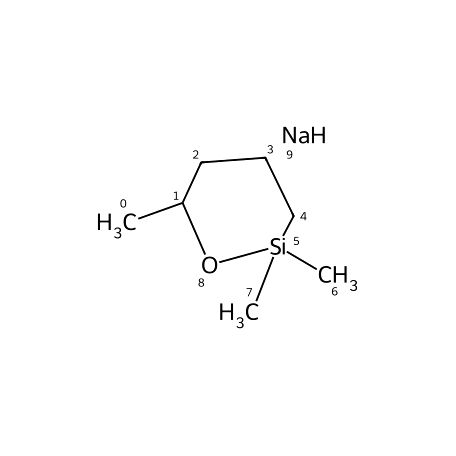 CC1CCC[Si](C)(C)O1.[NaH]